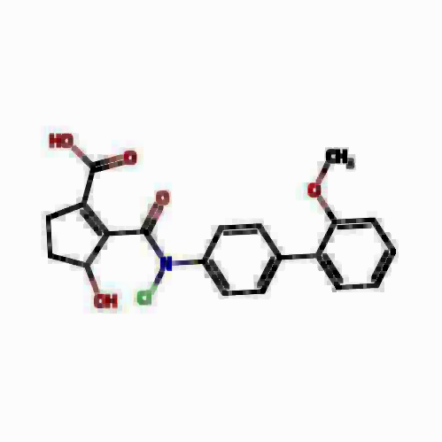 COc1ccccc1-c1ccc(N(Cl)C(=O)C2=C(C(=O)O)CCC2O)cc1